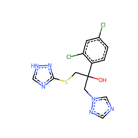 OC(CSc1nc[nH]n1)(Cn1cncn1)c1ccc(Cl)cc1Cl